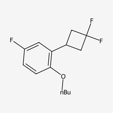 CCCCOc1ccc(F)cc1C1CC(F)(F)C1